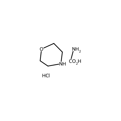 C1COCCN1.Cl.NC(=O)O